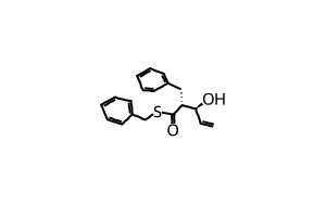 C=C[C@H](O)[C@@H](Cc1ccccc1)C(=O)SCc1ccccc1